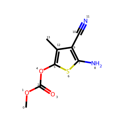 COC(=O)Oc1sc(N)c(C#N)c1C